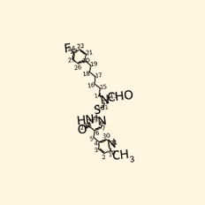 Cc1ccc(Cc2cnc(SCN(C=O)CCCCCCc3ccc(F)cc3)[nH]c2=O)cn1